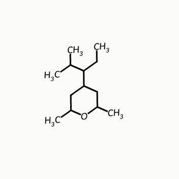 CCC(C(C)C)C1CC(C)OC(C)C1